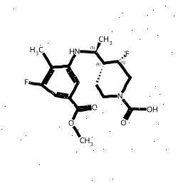 COC(=O)c1cc(F)c(C)c(N[C@@H](C)[C@H]2CCN(C(=O)O)C[C@H]2F)c1